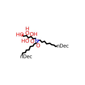 CCCCCCCCCCCCCCCCCCN(CC(=O)[C@@H](O)[C@@H](O)[C@H](O)CO)C(=O)CCCCCCCCCCCCCCCCC